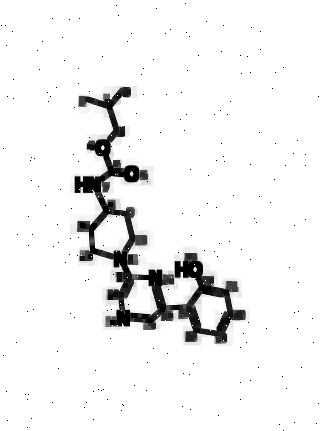 CC(C)COC(=O)NC1CCN(c2cncc(-c3ccccc3O)n2)CC1